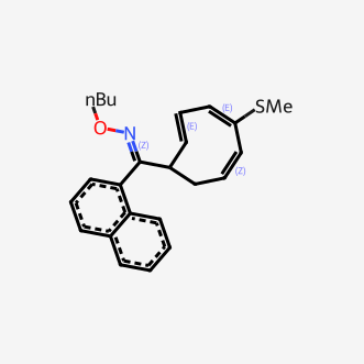 CCCCO/N=C(\c1cccc2ccccc12)C1/C=C/C=C(SC)\C=C/C1